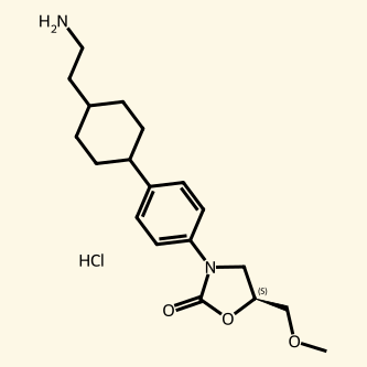 COC[C@@H]1CN(c2ccc(C3CCC(CCN)CC3)cc2)C(=O)O1.Cl